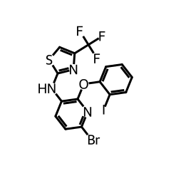 FC(F)(F)c1csc(Nc2ccc(Br)nc2Oc2ccccc2I)n1